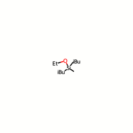 CCO[Si](C)(C(C)CC)C(C)CC